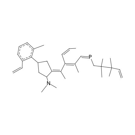 C=Cc1cccc(C)c1C1C/C(=C(/C)C(/C=C\C)=C(C)/C=P\CC(C)(C)C(C)(C)C=C)C(N(C)C)C1